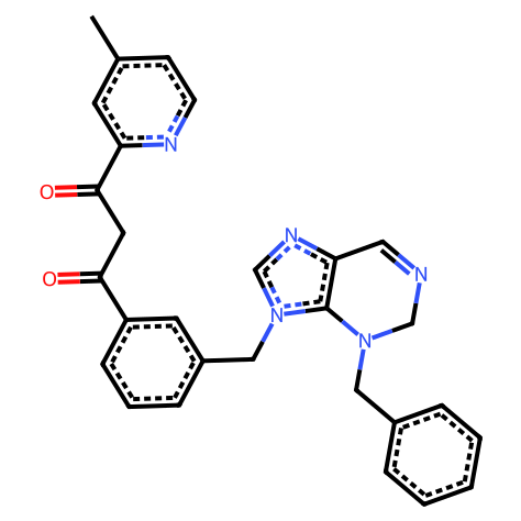 Cc1ccnc(C(=O)CC(=O)c2cccc(Cn3cnc4c3N(Cc3ccccc3)CN=C4)c2)c1